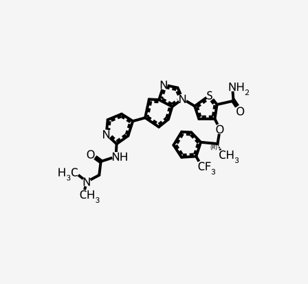 C[C@@H](Oc1cc(-n2cnc3cc(-c4ccnc(NC(=O)CN(C)C)c4)ccc32)sc1C(N)=O)c1ccccc1C(F)(F)F